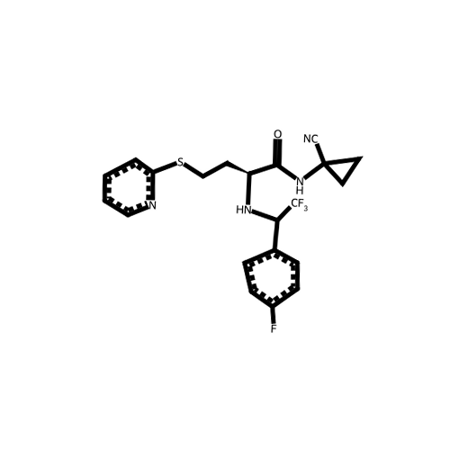 N#CC1(NC(=O)[C@H](CCSc2ccccn2)NC(c2ccc(F)cc2)C(F)(F)F)CC1